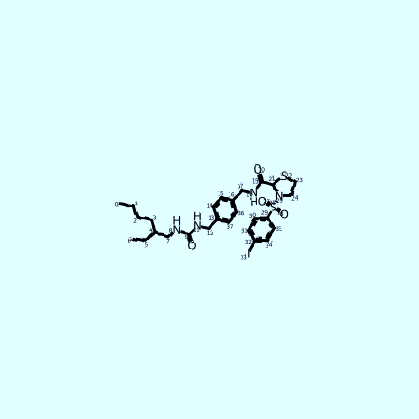 CCCCC(CC)CNC(=O)NCc1ccc(CNC(=O)C2SCCN2S(=O)(=O)c2ccc(I)cc2)cc1